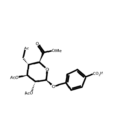 COC(=O)[C@H]1O[C@@H](Oc2ccc(C(=O)O)cc2)[C@H](OC(C)=O)[C@@H](OC(C)=O)[C@@H]1CC(C)=O